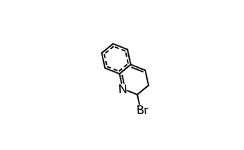 BrC1CC=c2ccccc2=N1